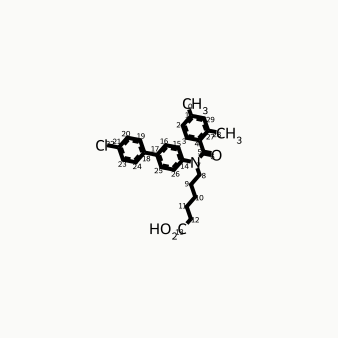 Cc1ccc(C(=O)N(CCCCCC(=O)O)c2ccc(-c3ccc(Cl)cc3)cc2)c(C)c1